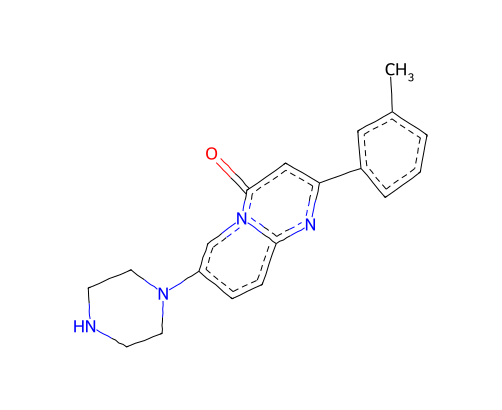 Cc1cccc(-c2cc(=O)n3cc(N4CCNCC4)ccc3n2)c1